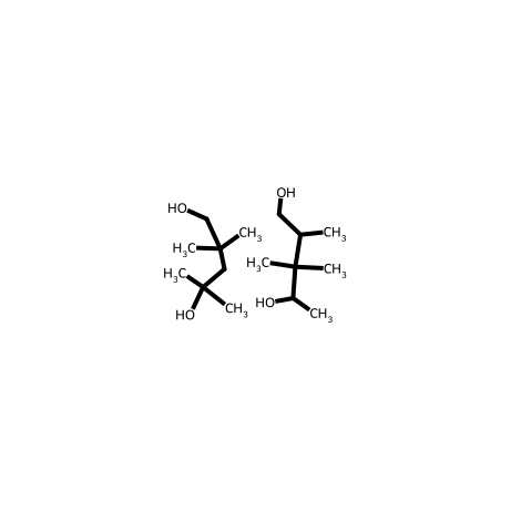 CC(C)(O)CC(C)(C)CO.CC(O)C(C)(C)C(C)CO